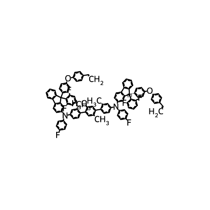 C=Cc1ccc(Oc2ccc(C3(c4c(F)cccc4F)c4ccccc4-c4ccc(N(c5ccc(F)cc5)c5ccc(-c6cc(C)c(-c7ccc(N(c8ccc(F)cc8)c8ccc9c(c8)[C@](c8ccc(Oc%10ccc(C=C)cc%10)cc8)(c8c(F)cccc8F)c8ccccc8-9)cc7C)cc6C)c(C)c5)cc43)cc2)cc1